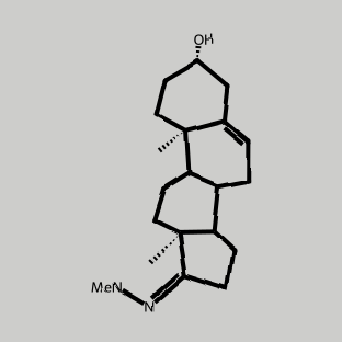 CN/N=C1/CCC2C3CC=C4C[C@@H](O)CC[C@]4(C)C3CC[C@]12C